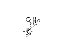 CC1SC(=O)NN=C1c1cc2c(c(-c3ccccc3)c1)NC(=O)C2